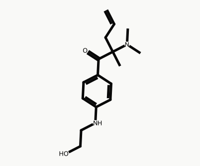 C=CCC(C)(C(=O)c1ccc(NCCO)cc1)N(C)C